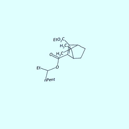 CCCCCC(CC)OC(=O)C1=C(C(=O)OCC)C2CCC1C2(C)C